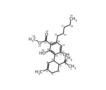 C=C(C)C1CCC(C)=CC1c1c(O)cc(CCCCC)c(C(=O)OC)c1O